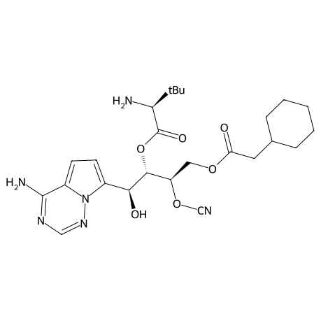 CC(C)(C)[C@H](N)C(=O)O[C@H]([C@@H](COC(=O)CC1CCCCC1)OC#N)[C@@H](O)c1ccc2c(N)ncnn12